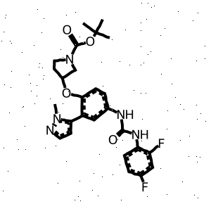 Cn1nccc1-c1cc(NC(=O)Nc2ccc(F)cc2F)ccc1OC1CCN(C(=O)OC(C)(C)C)C1